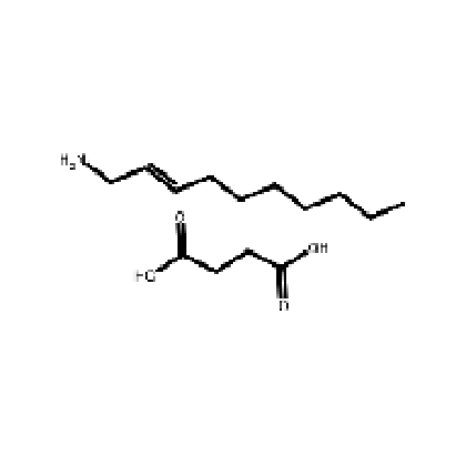 CCCCCCCC=CCN.O=C(O)CCC(=O)O